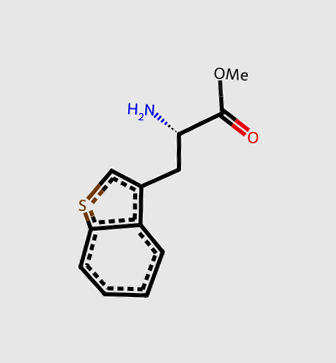 COC(=O)[C@@H](N)Cc1csc2ccccc12